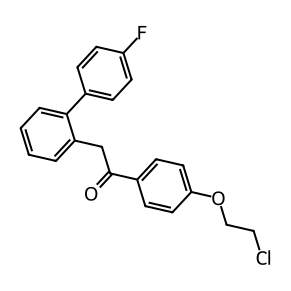 O=C(Cc1ccccc1-c1ccc(F)cc1)c1ccc(OCCCl)cc1